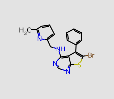 Cc1cccc(CNc2ncnc3sc(Br)c(-c4ccccc4)c23)n1